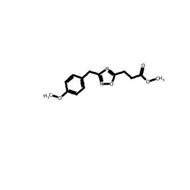 COC(=O)CCc1nc(Cc2ccc(OC)cc2)no1